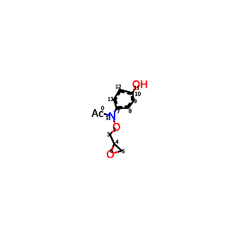 CC(=O)N(OCC1CO1)c1ccc(O)cc1